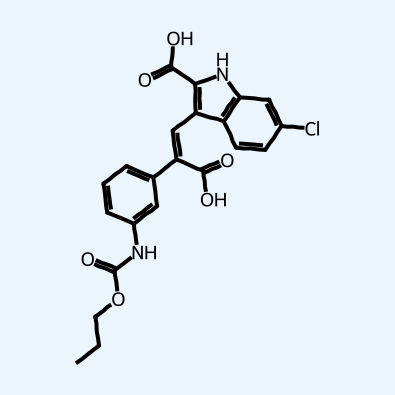 CCCOC(=O)Nc1cccc(C(=Cc2c(C(=O)O)[nH]c3cc(Cl)ccc23)C(=O)O)c1